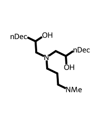 CCCCCCCCCCC(O)CN(CCCNC)CC(O)CCCCCCCCCC